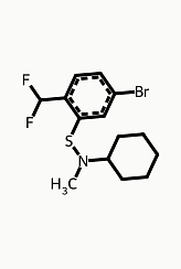 CN(Sc1cc(Br)ccc1C(F)F)C1CCCCC1